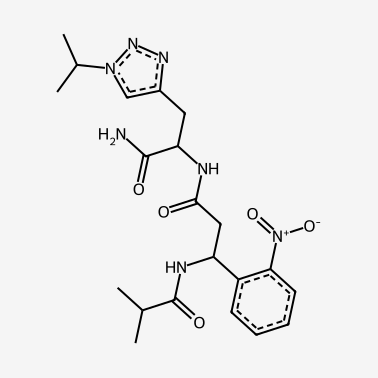 CC(C)C(=O)NC(CC(=O)NC(Cc1cn(C(C)C)nn1)C(N)=O)c1ccccc1[N+](=O)[O-]